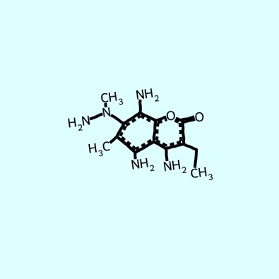 CCc1c(N)c2c(N)c(C)c(N(C)N)c(N)c2oc1=O